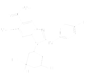 COC(=O)c1cc2nc(Nc3ccc(C(C)C)cc3)n(C3CC(C)CC(C)(C)C3)c2cc1OC